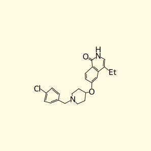 CCc1c[nH]c(=O)c2ccc(OC3CCN(Cc4ccc(Cl)cc4)CC3)cc12